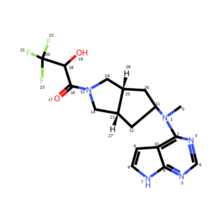 CN(c1ncnc2[nH]ccc12)C1C[C@@H]2CN(C(=O)C(O)C(F)(F)F)C[C@@H]2C1